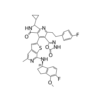 COc1c(F)ccc2c1CC[C@H]2Nc1nc(C)cc2cc(-c3c4c(nc(CCc5ccc(F)cc5)c3-c3n[nH]c(=O)o3)C(C3CC3)NC4=O)sc12